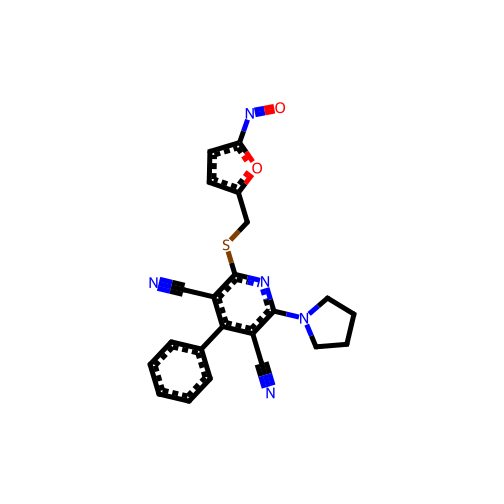 N#Cc1c(SCc2ccc(N=O)o2)nc(N2CCCC2)c(C#N)c1-c1ccccc1